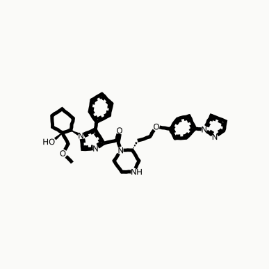 COC[C@]1(O)CCCC[C@H]1n1cnc(C(=O)N2CCNC[C@H]2CCOc2ccc(-n3cccn3)cc2)c1-c1ccccc1